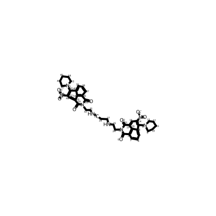 O=C1c2cccc3c(N4CCCCC4)c([N+](=O)[O-])cc(c23)C(=O)N1CCNCCCNCCN1C(=O)c2cccc3c(N4CCCCC4)c([N+](=O)[O-])cc(c23)C1=O